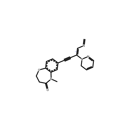 C=N/C=C(/C#Cc1ccc2c(c1)N(C)C(=O)CCO2)N1CC=CC=N1